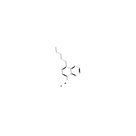 CCCCCc1ccc(N=C=O)c2ccccc12